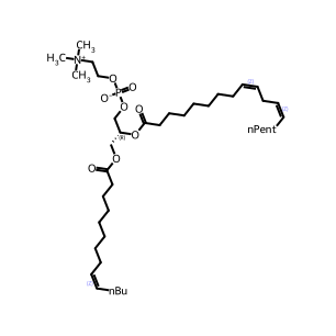 CCCC/C=C\CCCCCCCC(=O)OC[C@H](COP(=O)([O-])OCC[N+](C)(C)C)OC(=O)CCCCCCC/C=C\C/C=C\CCCCC